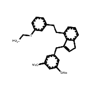 COc1cc(CC2=CCc3cccc(CCc4cccc(OCC(=O)O)c4)c32)cc(OC)c1